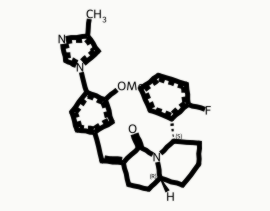 COc1cc(C=C2CC[C@H]3CCC[C@@H](c4ccccc4F)N3C2=O)ccc1-n1cnc(C)c1